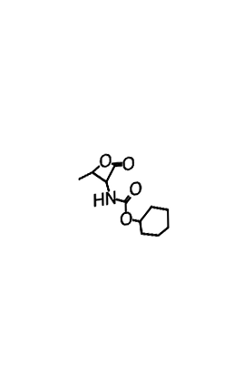 CC1OC(=O)C1NC(=O)OC1CCCCC1